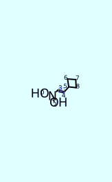 ON(O)/C=C/C1CCC1